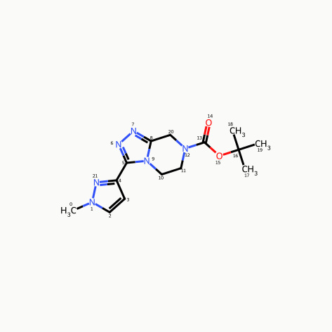 Cn1ccc(-c2nnc3n2CCN(C(=O)OC(C)(C)C)C3)n1